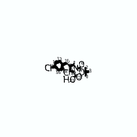 CC(C)(C)OC(=O)N1C[C@H](Cc2ccc(Cl)cc2Cl)C[C@H]1C(=O)O